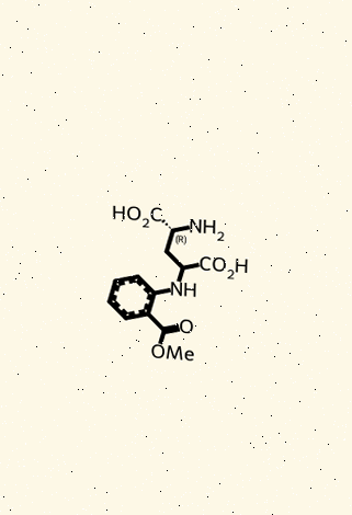 COC(=O)c1ccccc1NC(C[C@@H](N)C(=O)O)C(=O)O